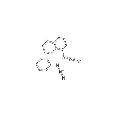 [N-]=[N+]=Nc1cccc2ccccc12.[N-]=[N+]=Nc1ccccc1